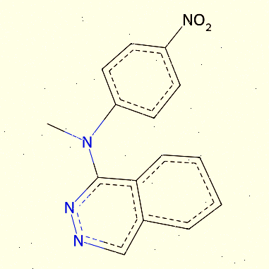 CN(c1ccc([N+](=O)[O-])cc1)c1nncc2ccccc12